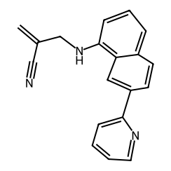 C=C(C#N)CNc1cccc2ccc(-c3ccccn3)cc12